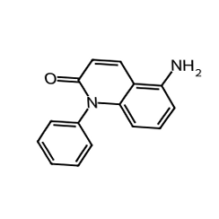 Nc1cccc2c1ccc(=O)n2-c1ccccc1